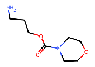 NCCCOC(=O)N1CCOCC1